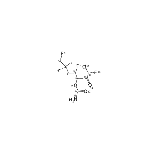 CC(C)(CF)CC(F)C(OC(N)=O)C(=O)C(F)Cl